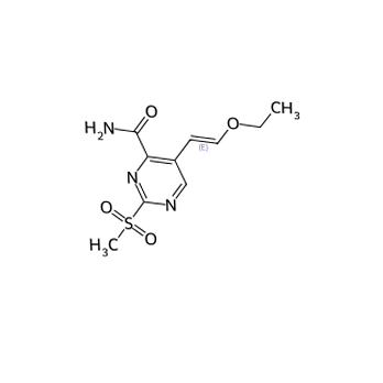 CCO/C=C/c1cnc(S(C)(=O)=O)nc1C(N)=O